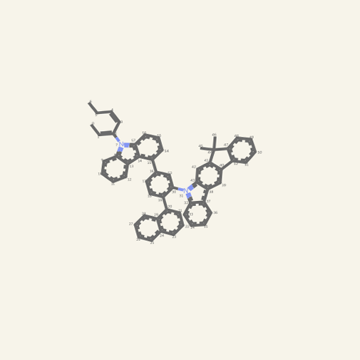 C/C=C(\C=C/CC)n1c2ccccc2c2c(-c3ccc(-c4cccc5ccccc45)c(-n4c5ccccc5c5cc6c(cc54)C(C)(C)c4ccccc4-6)c3)cccc21